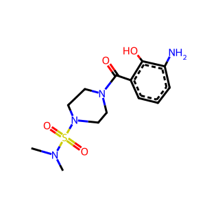 CN(C)S(=O)(=O)N1CCN(C(=O)c2cccc(N)c2O)CC1